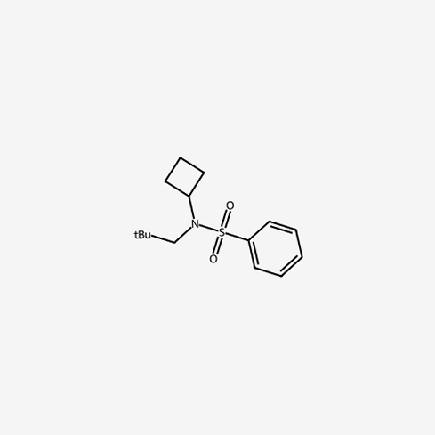 CC(C)(C)CN(C1CCC1)S(=O)(=O)c1ccccc1